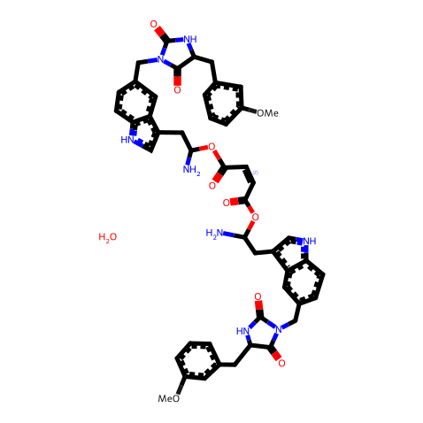 COc1cccc(CC2NC(=O)N(Cc3ccc4[nH]cc(CC(N)OC(=O)/C=C\C(=O)OC(N)Cc5c[nH]c6ccc(CN7C(=O)NC(Cc8cccc(OC)c8)C7=O)cc56)c4c3)C2=O)c1.O